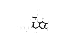 Cc1csc2c(C(=O)O)c(=O)c3cc(F)c(F)c(F)c3n12